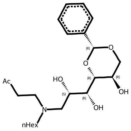 CCCCCCN(CCC(C)=O)C[C@H](O)[C@@H](O)[C@@H]1O[C@H](c2ccccc2)OC[C@H]1O